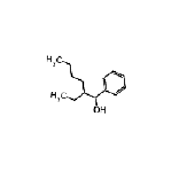 CCCCC(CC)[C@H](O)c1ccccc1